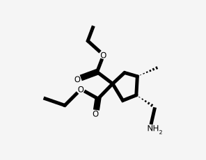 CCOC(=O)C1(C(=O)OCC)C[C@@H](CN)[C@@H](C)C1